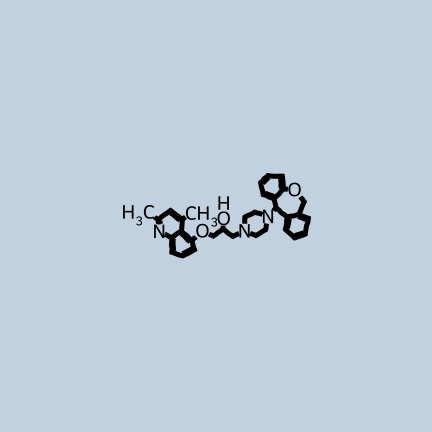 Cc1cc(C)c2c(OCC(O)CN3CCN(C4c5ccccc5COc5ccccc54)CC3)cccc2n1